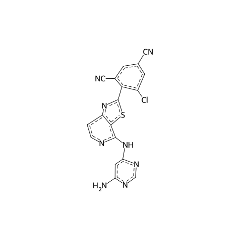 N#Cc1cc(Cl)c(-c2nc3ccnc(Nc4cc(N)ncn4)c3s2)c(C#N)c1